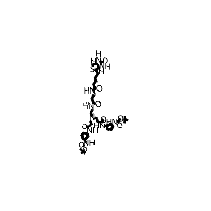 CC(C)(C)OC(=O)Nc1cccc(NC(=O)CCN(CCNC(=O)CCNC(=O)CCCCC2SC[C@H]3NC(=O)N[C@@H]23)CCC(=O)Nc2cccc(NC(=O)OC(C)(C)C)c2)c1